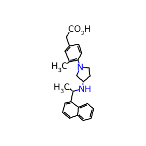 Cc1cc(CC(=O)O)ccc1N1CC[C@H](N[C@H](C)c2cccc3ccccc23)C1